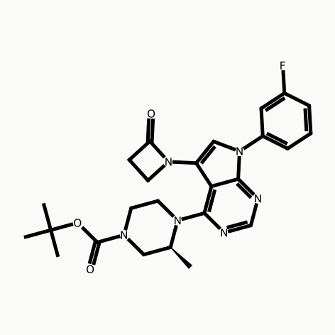 C[C@H]1CN(C(=O)OC(C)(C)C)CCN1c1ncnc2c1c(N1CCC1=O)cn2-c1cccc(F)c1